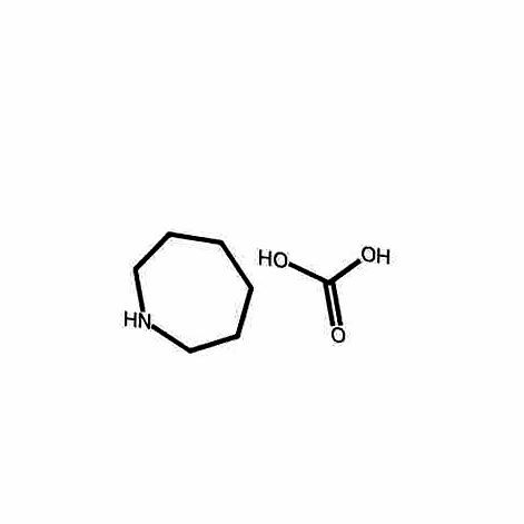 C1CCCNCC1.O=C(O)O